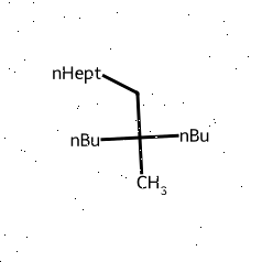 CCCCCCCCC(C)(CCCC)CCCC